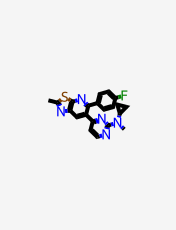 Cc1nc2cc(-c3ccnc(N(C)C4CC4)n3)c(-c3ccc(F)cc3)nc2s1